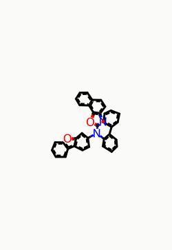 c1ccc(-c2ccccc2N(c2ccc3c(c2)oc2ccccc23)c2nc3ccc4ccccc4c3o2)cc1